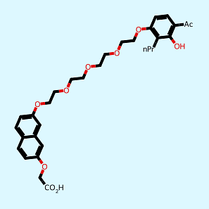 CCCc1c(OCCOCCOCCOCCOc2ccc3ccc(OCC(=O)O)cc3c2)ccc(C(C)=O)c1O